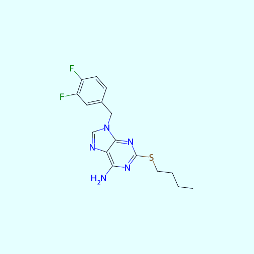 CCCCSc1nc(N)c2ncn(Cc3ccc(F)c(F)c3)c2n1